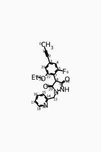 CC#Cc1cc(F)c(C2C(=O)NN(Cc3ccccn3)C2=O)c(OCC)c1